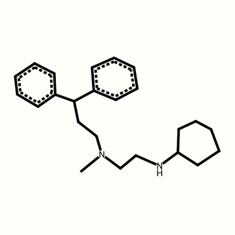 CN(CCNC1CCCCC1)CCC(c1ccccc1)c1ccccc1